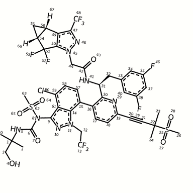 CC(C)(CO)NC(=O)N(c1nn(CC(F)(F)F)c2c(-c3ccc(C#CC(C)(C)S(C)(=O)=O)nc3[C@H](Cc3cc(F)cc(F)c3)NC(=O)Cn3nc(C(F)(F)F)c4c3C(F)(F)[C@@H]3C[C@H]43)ccc(Cl)c12)S(C)(=O)=O